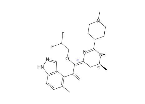 C=C(/C(OCC(F)F)=C1\C[C@H](C)NC(C2CCN(C)CC2)=N1)c1c(C)ccc2[nH]ncc12